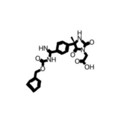 C[C@@]1(c2ccc(C(=N)NC(=O)OCc3ccccc3)cc2)NC(=O)N(CC(=O)O)C1=O